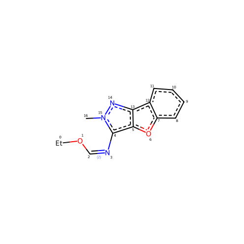 CCO/C=N\c1c2oc3ccccc3c2nn1C